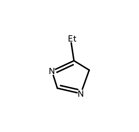 CCC1=NC=NC1